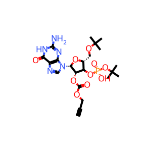 C#CCOC(=O)O[C@H]1C(OP(=O)(O)OC(C)(C)C)[C@@H](COC(C)(C)C)O[C@H]1n1cnc2c(=O)[nH]c(N)nc21